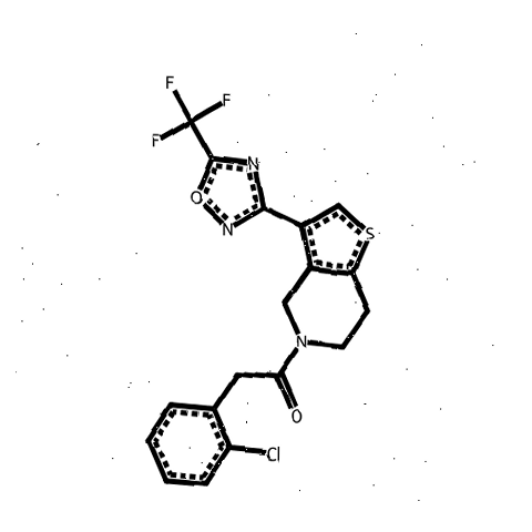 O=C(Cc1ccccc1Cl)N1CCc2scc(-c3noc(C(F)(F)F)n3)c2C1